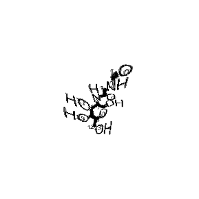 O=CNCC(=O)NC1C(O)OC(CO)C(O)C1O